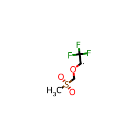 CS(=O)(=O)CO[CH]C(F)(F)F